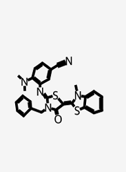 CN(C)c1ccc(C#N)cc1N=C1SC(=C2Sc3ccccc3N2C)C(=O)N1Cc1ccccc1